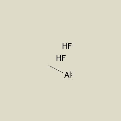 F.F.[CH3][Al]